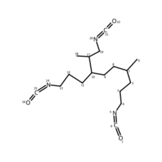 CC(CCCN=C=O)CCC(CCCN=C=O)C(C)CN=C=O